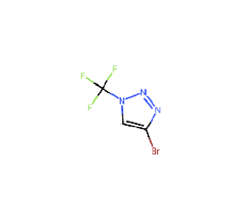 FC(F)(F)n1[c]c(Br)nn1